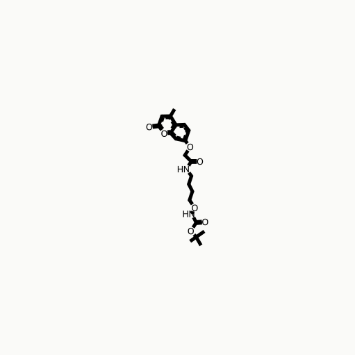 Cc1cc(=O)oc2cc(OCC(=O)NCCCCONC(=O)OC(C)(C)C)ccc12